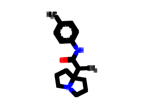 Cc1ccc(NC(=O)C(C)C23CCCN2CCC3)cc1